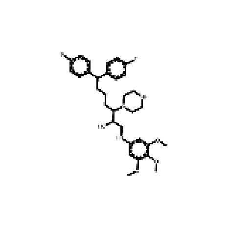 COc1cc(NCC(O)C(CCCC(c2ccc(F)cc2)c2ccc(F)cc2)N2CCNCC2)cc(OC)c1OC